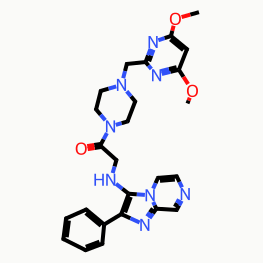 COc1cc(OC)nc(CN2CCN(C(=O)CNc3c(-c4ccccc4)nc4cnccn34)CC2)n1